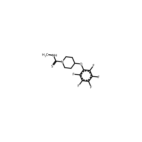 CNC(=S)N1CCC(Oc2c(F)c(F)c(F)c(F)c2F)CC1